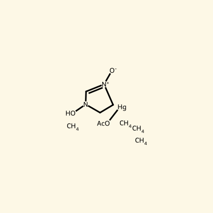 C.C.C.C.CC(=O)[O][Hg].[O-][N+]1=CN(O)CC1